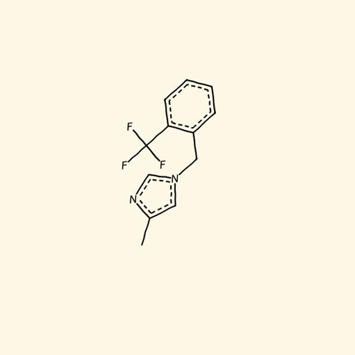 Cc1cn(Cc2ccccc2C(F)(F)F)cn1